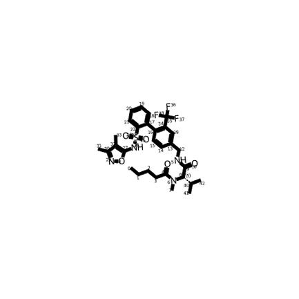 CCCCC(=O)N(C)[C@H](C(=O)NCc1ccc(-c2ccccc2S(=O)(=O)Nc2onc(C)c2C)c(C(F)(F)F)c1)C(C)C